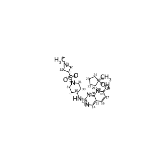 CN1CC(S(=O)(=O)N2CCC(Nc3ncc4ccc(=O)n([C@@H]5CCC[C@@]5(C)O)c4n3)CC2)C1